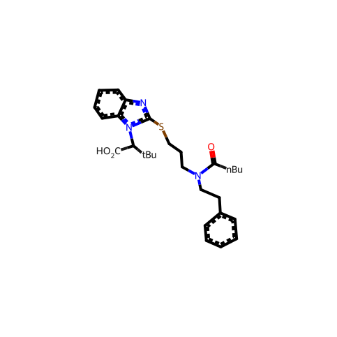 CCCCC(=O)N(CCCSc1nc2ccccc2n1C(C(=O)O)C(C)(C)C)CCc1ccccc1